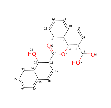 O=C(Oc1c(C(=O)O)ccc2ccccc12)c1ccc2ccccc2c1O